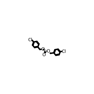 O=S(OCc1ccc(Cl)cc1)OCc1ccc(Cl)cc1